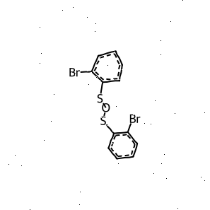 Brc1ccccc1SOSc1ccccc1Br